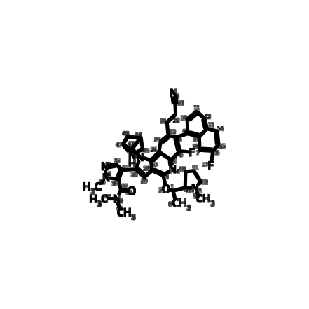 CC(Oc1nc2c(F)c(-c3cccc4ccc(F)cc34)c(CCC#N)cc2c2c1cc(-c1cnn(C)c1C(=O)N(C)C)n2C1C2CNC1C2)C1CCCN1C